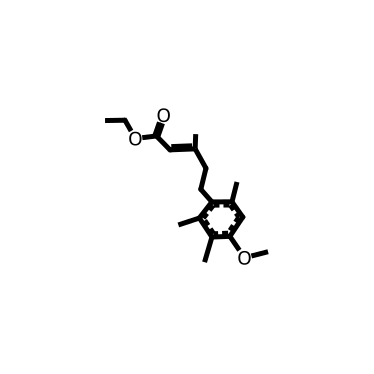 CCOC(=O)C=C(C)CCc1c(C)cc(OC)c(C)c1C